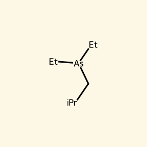 CC[As](CC)CC(C)C